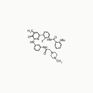 CCCCc1ccccc1C(=O)Nc1cccc(-c2cn(C)c(=O)c(Nc3cccc(NC(=O)CN4CCN(C)CC4)c3)n2)c1F